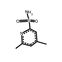 Cc1cc(C)nc(S(N)(=O)=O)c1